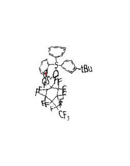 CC(C)(C)c1ccc(S(OS(=O)(=O)C2(F)C(F)(F)C(F)(F)C(F)(C(F)(F)C(F)(F)F)C(F)(F)C2(F)F)(c2ccccc2)c2ccccc2)cc1